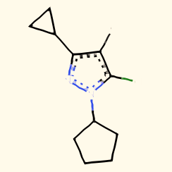 O=Cc1c(C2CC2)nn(C2CCCC2)c1Cl